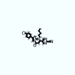 CCCCCn1c(-c2cnc(C#N)nc2)cc(=O)n2cc(-c3ccc(Cl)cc3)nc12